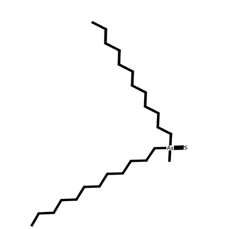 CCCCCCCCCCCC[As](C)(=S)CCCCCCCCCCCC